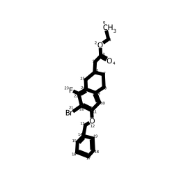 CCOC(=O)CC1CCc2cc(OCc3ccccc3)c(Br)c(F)c2C1